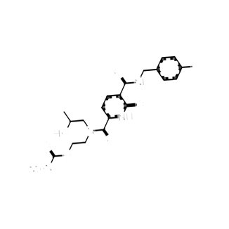 CNC(=O)OCCN(CC(C)O)C(=O)c1ccc(C(=O)NCc2ccc(Cl)cc2)c(=O)[nH]1